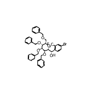 O[C@@H](c1ccc(Br)cc1C(F)(F)F)[C@H]1O[C@H](COCc2ccccc2)[C@@H](OCc2ccccc2)[C@H](OCc2ccccc2)[C@@H]1OCc1ccccc1